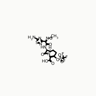 CO/N=C(\C(=O)N[C@@H]1C(=O)N2C(C(=O)O)=C(OS(=O)(=O)C(F)(F)F)CC[C@H]12)c1nsc(N)n1